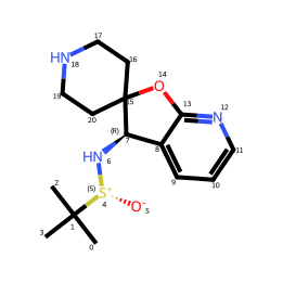 CC(C)(C)[S@@+]([O-])N[C@@H]1c2cccnc2OC12CCNCC2